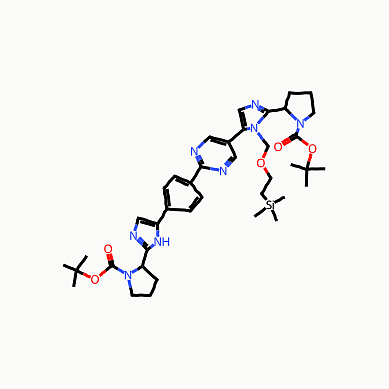 CC(C)(C)OC(=O)N1CCCC1c1ncc(-c2ccc(-c3ncc(-c4cnc(C5CCCN5C(=O)OC(C)(C)C)n4COCC[Si](C)(C)C)cn3)cc2)[nH]1